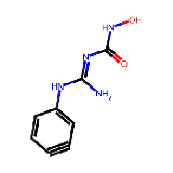 N/C(=N\C(=O)NO)Nc1cc#ccc1